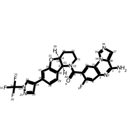 Nc1nc2cc(F)c(C(=O)N3CCC[C@@H]4Oc5cc(-c6cnn(C(F)(F)F)c6)ccc5[C@@H]43)cc2n2cncc12